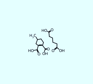 CC1CCC(C(=O)O)=C(C(=O)O)C1.O=C(O)CCCCC(=O)O